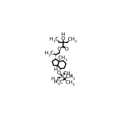 CCC(O)(CC)C(=O)OCC(C)[C@H]1CC[C@H]2[C@@H](O[Si](C)(C)C(C)(C)C)CCC[C@]12C